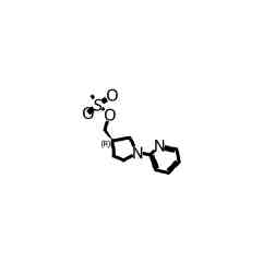 CS(=O)(=O)OC[C@@H]1CCN(c2ccccn2)C1